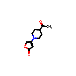 CC(=O)C1CCN(C2=CC(=O)OC2)CC1